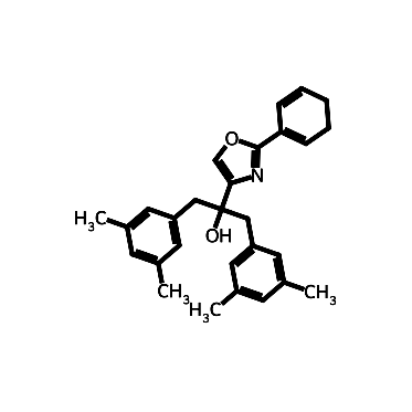 Cc1cc(C)cc(CC(O)(Cc2cc(C)cc(C)c2)c2coc(C3=CCCC=C3)n2)c1